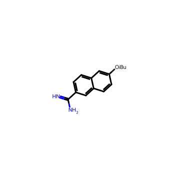 CC(C)COc1ccc2cc(C(=N)N)ccc2c1